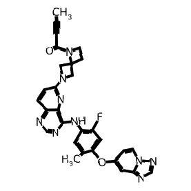 CC#CC(=O)N1CCC12CN(c1ccc3ncnc(Nc4cc(C)c(Oc5ccn6ncnc6c5)cc4F)c3n1)C2